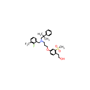 CC(C)(CN(CCCOc1ccc(CCO)c(S(C)(=O)=O)c1)Cc1cccc(C(F)(F)F)c1F)c1ccccc1